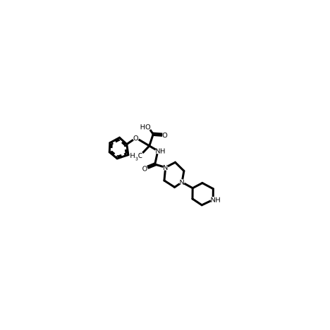 CC(NC(=O)N1CCN(C2CCNCC2)CC1)(Oc1ccccc1)C(=O)O